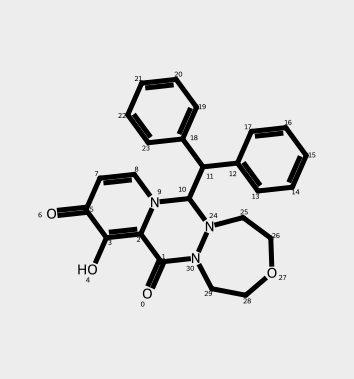 O=C1c2c(O)c(=O)ccn2C(C(c2ccccc2)c2ccccc2)N2CCOCCN12